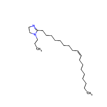 CCCCCCCC/C=C\CCCCCCCCC1=NCCN1CCC